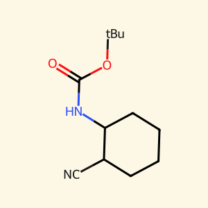 CC(C)(C)OC(=O)NC1CCCCC1C#N